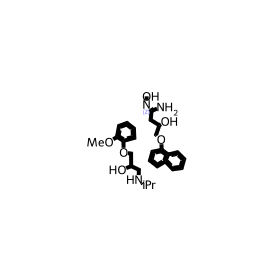 COc1ccccc1OCC(O)CNC(C)C.N/C(CC(O)COc1cccc2ccccc12)=N\O